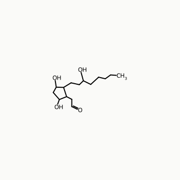 CCCCCC(O)CCC1C(O)CC(O)C1CC=O